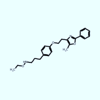 CCONCCCc1ccc(OCCc2nc(-c3ccccc3)oc2C)cc1